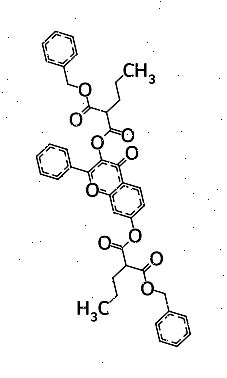 CCCC(C(=O)OCc1ccccc1)C(=O)Oc1ccc2c(=O)c(OC(=O)C(CCC)C(=O)OCc3ccccc3)c(-c3ccccc3)oc2c1